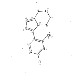 Cc1nc(Cl)ccc1-c1nnc2n1CCOC2